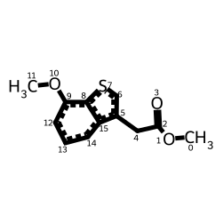 COC(=O)Cc1csc2c(OC)cccc12